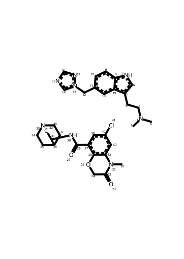 CN(C)CCc1c[nH]c2ccc(Cn3cncn3)cc12.CN1C(=O)COc2c(C(=O)NC3CN4CCC3CC4)cc(Cl)cc21